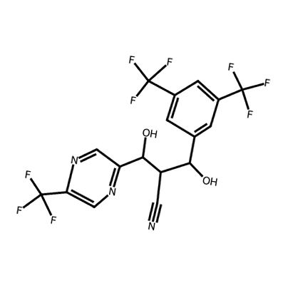 N#CC(C(O)c1cc(C(F)(F)F)cc(C(F)(F)F)c1)C(O)c1cnc(C(F)(F)F)cn1